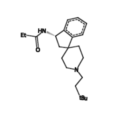 CCC(=O)N[C@H]1CC2(CCN(CCC(C)(C)C)CC2)c2ccccc21